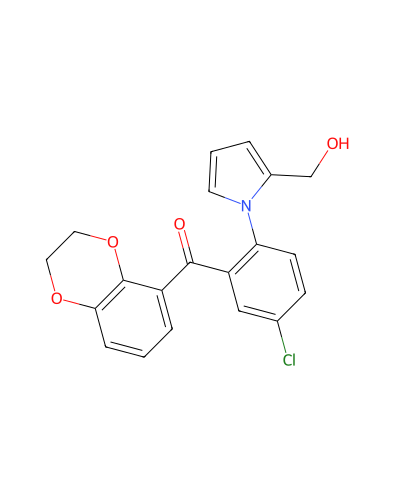 O=C(c1cc(Cl)ccc1-n1cccc1CO)c1cccc2c1OCCO2